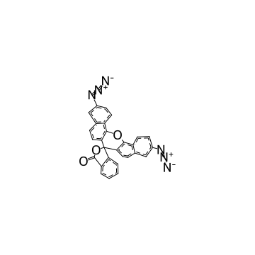 [N-]=[N+]=Nc1ccc2c3c(ccc2c1)C1(OC(=O)c2ccccc21)c1ccc2cc(N=[N+]=[N-])ccc2c1O3